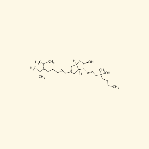 CCCC[C@](C)(O)C/C=C/[C@@H]1[C@H]2CC(CSCCCN(C(C)C)C(C)C)=C[C@H]2C[C@H]1O